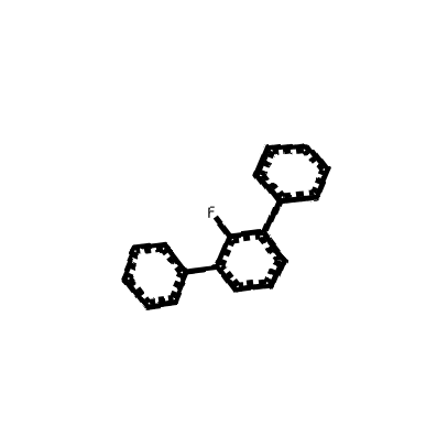 Fc1c(-c2ccccc2)cccc1-c1ccccc1